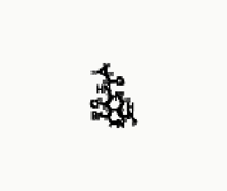 CNc1ncc(Br)c2c(Cl)c(NC(=O)C3CC3)ncc12